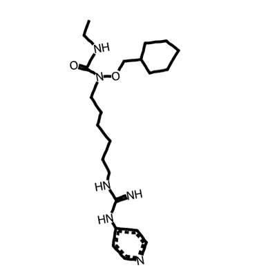 CCNC(=O)N(CCCCCCNC(=N)Nc1ccncc1)OCC1CCCCC1